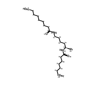 CCCCCCCCCCCCCCCCCC(=O)NCCCC[C@H](NC(=O)CCCCCCCCCCCCCCC)C(C)C